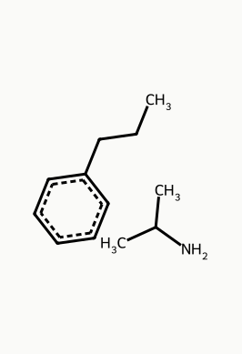 CC(C)N.CCCc1ccccc1